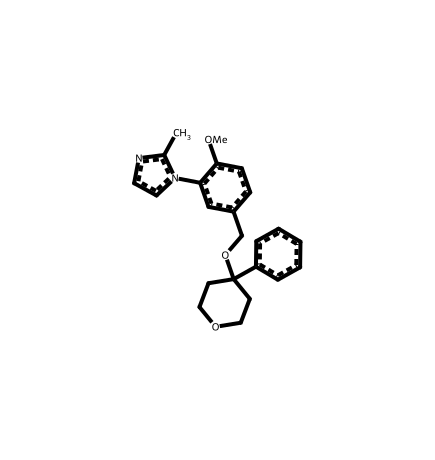 COc1ccc(COC2(c3ccccc3)CCOCC2)cc1-n1ccnc1C